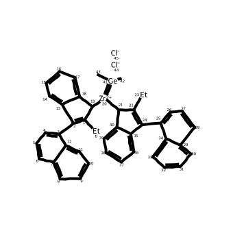 CCC1=C(c2cccc3ccccc23)c2ccccc2[CH]1[Zr+2]([CH]1C(CC)=C(c2cccc3ccccc23)c2ccccc21)=[Ge]([CH3])[CH3].[Cl-].[Cl-]